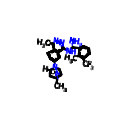 Cc1c([C@@H](N)Nc2nnc(C)c3ccc(N4CC5CC[C@H]4CN5C)cc23)cccc1C(F)(F)F